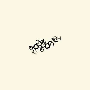 CCC(C)(O)[C@H]1Cc2c(ccc3c2O[C@@H]2COc4cc(OC)c(OC)cc4[C@@H]2C3=O)O1